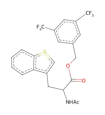 CC(=O)NC(Cc1csc2ccccc12)C(=O)OCc1cc(C(F)(F)F)cc(C(F)(F)F)c1